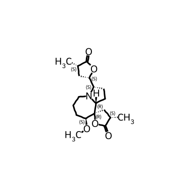 CO[C@H]1CCCN2[C@H]([C@@H]3C[C@H](C)C(=O)O3)CC[C@@H]2[C@]12C[C@H](C)C(=O)O2